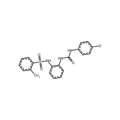 Cc1ccccc1S(=O)(=O)Nc1ccccc1NC(=O)Nc1ccc(Cl)cc1